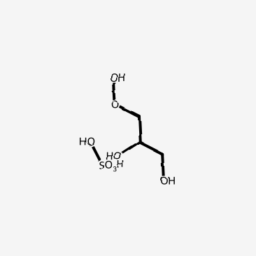 O=S(=O)(O)O.OCC(O)COO